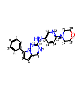 c1ccc(-c2ccc3cnc(Nc4ccc(N5CCOCC5)nc4)nn23)cc1